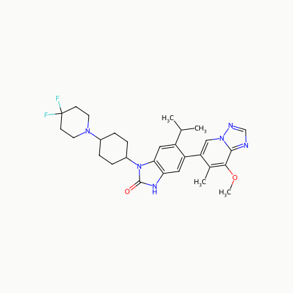 COc1c(C)c(-c2cc3[nH]c(=O)n(C4CCC(N5CCC(F)(F)CC5)CC4)c3cc2C(C)C)cn2ncnc12